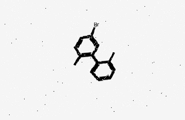 Cc1ccccc1-c1cc(Br)ccc1C